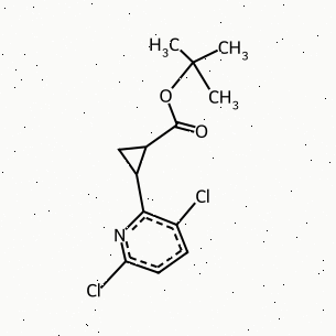 CC(C)(C)OC(=O)C1CC1c1nc(Cl)ccc1Cl